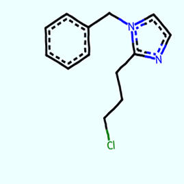 ClCCCc1nccn1Cc1ccccc1